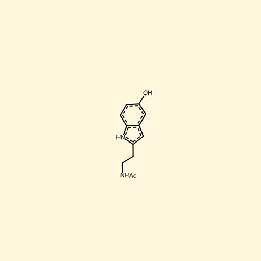 CC(=O)NCCc1cc2cc(O)ccc2[nH]1